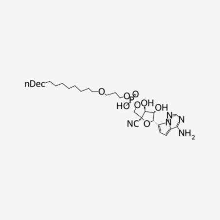 CCCCCCCCCCCCCCCCCCOCCCOP(=O)(O)OC[C@@]1(C#N)O[C@@H](c2ccc3c(N)ncnn23)[C@H](O)[C@@H]1O